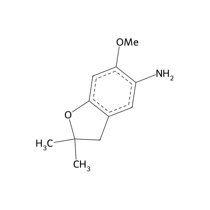 COc1cc2c(cc1N)CC(C)(C)O2